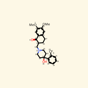 COc1cc2c(cc1OC)C(=O)C(CN1CCC(O)(c3ccccc3C(F)(F)F)CC1)CC2